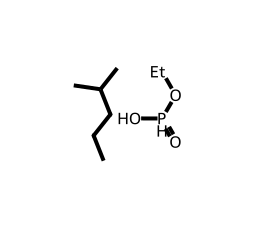 CCCC(C)C.CCO[PH](=O)O